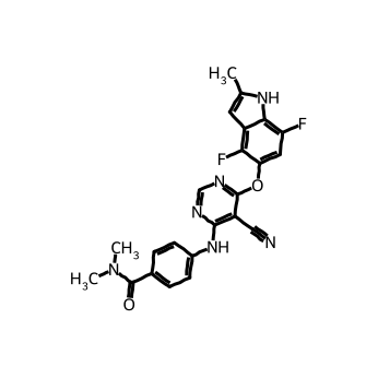 Cc1cc2c(F)c(Oc3ncnc(Nc4ccc(C(=O)N(C)C)cc4)c3C#N)cc(F)c2[nH]1